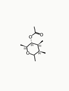 CC(=O)O[C@@H]1[C@@H](C)[C@@H](C)C(C)O[C@H]1C